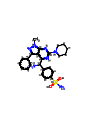 Cn1nc(-c2ccccc2)c2c(C(N)c3ccc(S(N)(=O)=O)cc3)nc(N3CCCCC3)nc21